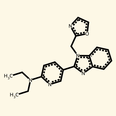 CCN(CC)c1ccc(-c2nc3ccccc3n2Cc2ncco2)cn1